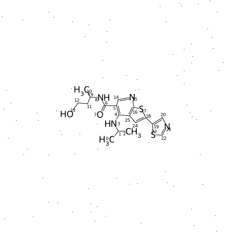 CC(C)Nc1c(C(=O)N[C@H](C)CCO)cnc2sc(-c3cncs3)cc12